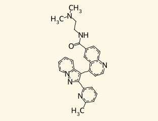 Cc1cccc(-c2nn3ccccc3c2-c2ccnc3ccc(C(=O)NCCN(C)C)cc23)n1